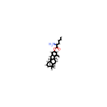 CCCCC(N)C(=O)Oc1cc(C)c2c(c1)C[C@H]1[C@@]3(C)CCCC(C)(C)[C@@H]3CC[C@@]21C